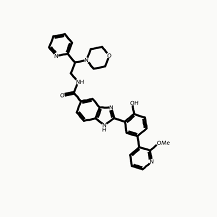 COc1ncccc1-c1ccc(O)c(-c2nc3cc(C(=O)NCC(c4ccccn4)N4CCOCC4)ccc3[nH]2)c1